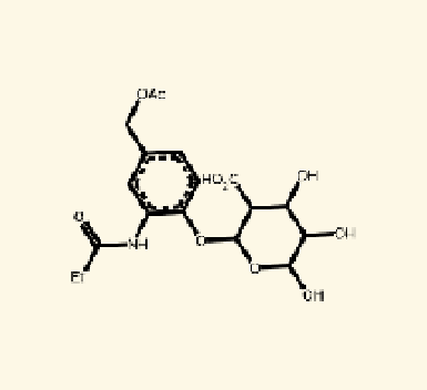 CCC(=O)Nc1cc(COC(C)=O)ccc1OC1OC(O)C(O)C(O)C1C(=O)O